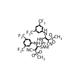 CC(C)NC(Nc1cc(C(F)(F)F)cc(C(F)(F)F)c1)=C(C#N)S(C)(=O)=O.CSC(Nc1cc(C(F)(F)F)cc(C(F)(F)F)c1)=C(C#N)S(C)(=O)=O